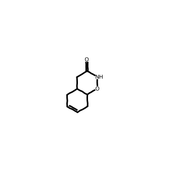 O=C1CC2CC=CCC2ON1